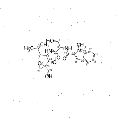 CC(C)CC(NC(=O)C(CO)NC(=O)c1cc2ccccc2n1C)C(=O)C1(CO)CO1